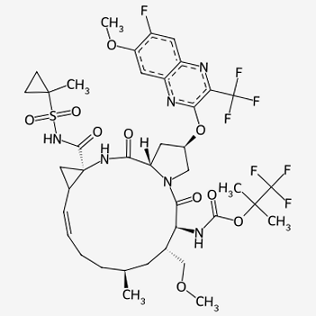 COC[C@@H]1C[C@@H](C)CC/C=C\C2C[C@@]2(C(=O)NS(=O)(=O)C2(C)CC2)NC(=O)[C@@H]2C[C@@H](Oc3nc4cc(OC)c(F)cc4nc3C(F)(F)F)CN2C(=O)[C@H]1NC(=O)OC(C)(C)C(F)(F)F